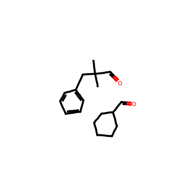 CC(C)(C=O)Cc1ccccc1.O=CC1CCCCC1